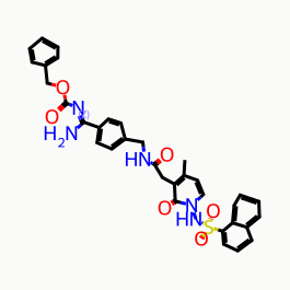 Cc1ccn(NS(=O)(=O)c2cccc3ccccc23)c(=O)c1CC(=O)NCc1ccc(/C(N)=N/C(=O)OCc2ccccc2)cc1